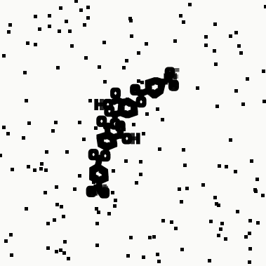 O=C(Oc1ccc(C(=O)OC(=O)c2ccc(OC(=O)c3ccc([N+](=O)[O-])cc3)cc2C(=O)O)c(C(=O)O)c1)c1ccc([N+](=O)[O-])cc1